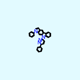 c1ccc(-c2ccc(-n3c4ccccc4c4cc5ccn(-c6ccccc6)c5cc43)nn2)cc1